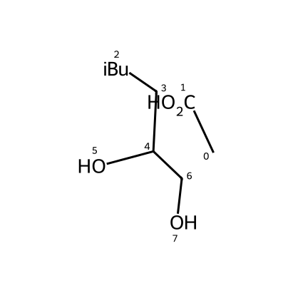 CC(=O)O.CCC(C)CC(O)CO